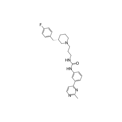 Cc1nccc(-c2cccc(NC(=O)NCCCN3CCC[C@@H](Cc4ccc(F)cc4)C3)c2)n1